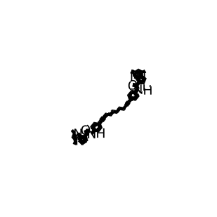 Cc1cc(C)n2ccc(C(=O)Nc3ccc(C#CCCCCCCC#Cc4ccc(NC(=O)c5ccn6c(C)cc(C)nc56)cc4)cc3)c2n1